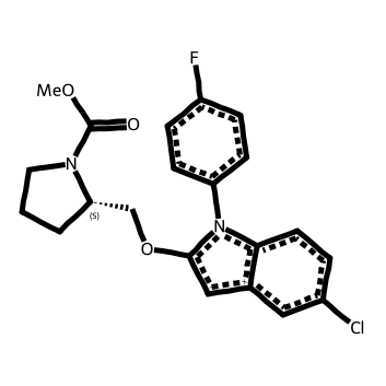 COC(=O)N1CCC[C@H]1COc1cc2cc(Cl)ccc2n1-c1ccc(F)cc1